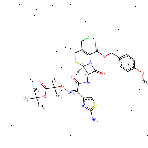 COc1ccc(COC(=O)C2=C(CCl)CS[C@@H]3[C@H](NC(=O)/C(=N\OC(C)(C)C(=O)OC(C)(C)C)c4csc(N)n4)C(=O)N23)cc1